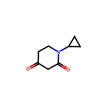 O=C1CCN(C2CC2)C(=O)C1